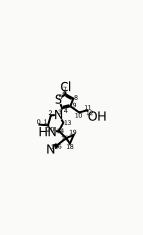 CC1CN(c2sc(Cl)cc2CCO)CC(C2(C#N)CC2)N1